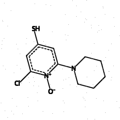 [O-][n+]1c(Cl)cc(S)cc1N1CCCCC1